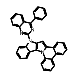 c1ccc(-c2nc(-n3c4ccccc4c4c3cc3c5ccccc5c5ccccc5n34)nc3ccccc23)cc1